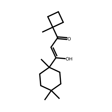 CC1(C)CCC(C)(/C(O)=C/C(=O)C2(C)CCC2)CC1